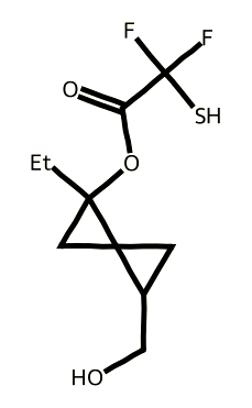 CCC1(OC(=O)C(F)(F)S)CC12CC2CO